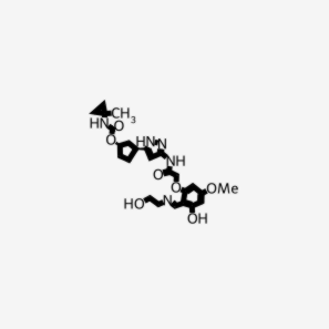 COc1cc(O)c(/C=N/CCO)c(OCC(=O)Nc2cc([C@H]3CC[C@@H](OC(=O)NC4(C)CC4)C3)[nH]n2)c1